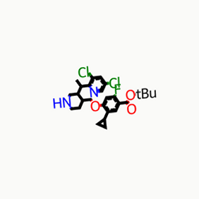 CC(c1ncc(Cl)cc1Cl)C1CNCCC1COc1cc(F)c(C(=O)OC(C)(C)C)cc1C1CC1